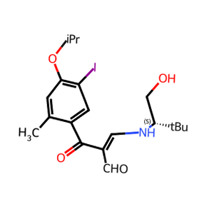 Cc1cc(OC(C)C)c(I)cc1C(=O)C(C=O)=CN[C@H](CO)C(C)(C)C